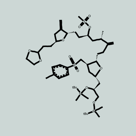 C=C1C[C@H](CCC2OCCO2)O[C@H]1CC[C@H](C[C@H](C)C(=C)CC[C@@H]1O[C@H](C[C@@H](CO[Si](C)(C)C(C)(C)C)O[Si](C)(C)C(C)(C)C)C[C@H]1CS(=O)(=O)c1ccc(C)cc1)OS(C)(=O)=O